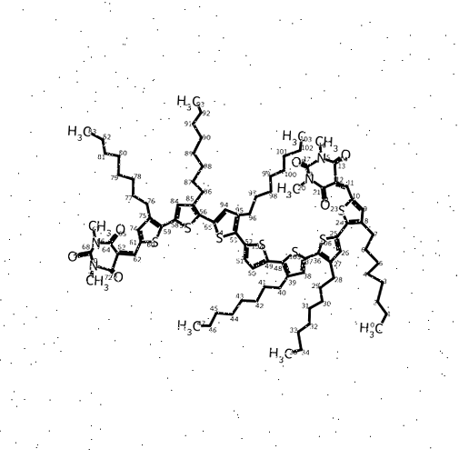 CCCCCCCCc1cc(C=C2C(=O)N(C)C(=O)N(C)C2=O)sc1-c1cc(CCCCCCCC)c(-c2cc(CCCCCCCC)c(-c3ccc(-c4sc(-c5sc(-c6sc(C=C7C(=O)N(C)C(=O)N(C)C7=O)cc6CCCCCCCC)cc5CCCCCCCC)cc4CCCCCCCC)s3)s2)s1